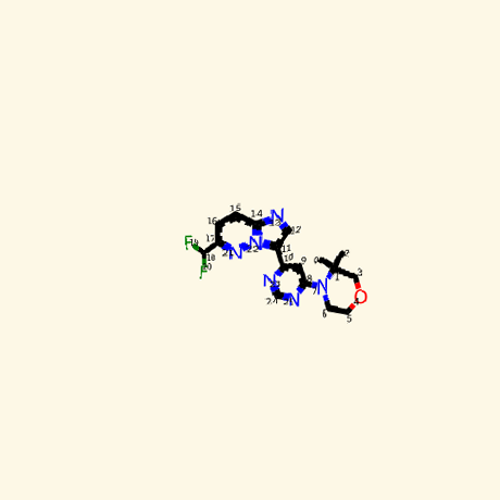 CC1(C)COCCN1c1cc(-c2cnc3ccc(C(F)F)nn23)ncn1